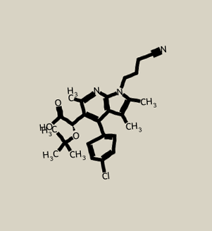 Cc1nc2c(c(C)c(C)n2CCCC#N)c(-c2ccc(Cl)cc2)c1[C@H](OC(C)(C)C)C(=O)O